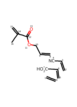 C=C.C=CC#N.C=CC(=O)O.C=CCOC(=O)C(=C)C